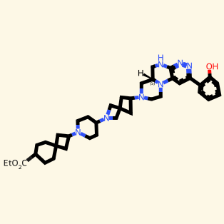 CCOC(=O)C1CCC2(CC1)CC(N1CCC(N3CC4(CC(N5CCN6c7cc(-c8ccccc8O)nnc7NC[C@H]6C5)C4)C3)CC1)C2